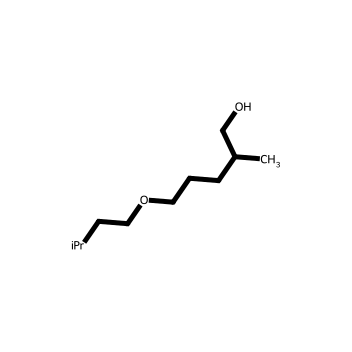 CC(C)CCOCCCC(C)CO